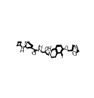 O=C(NCC(O)CN1CCc2c(ccc(OCc3cnco3)c2I)C1)c1ccnc(NC2CCC2)c1